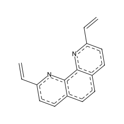 C=Cc1ccc2ccc3ccc(C=C)nc3c2n1